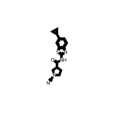 N#CN1CCC(C(=O)Nc2nc3ccc(C4CC4)cc3s2)C1